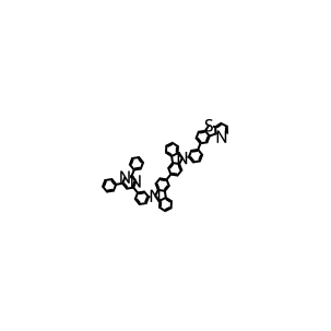 c1ccc(-c2cc(-c3cccc(-n4c5ccccc5c5cc(-c6ccc7c(c6)c6ccccc6n7-c6cccc(-c7ccc8sc9cccnc9c8c7)c6)ccc54)c3)nc(-c3ccccc3)n2)cc1